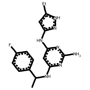 CCc1cc(Nc2cc(NC(C)c3ccc(F)cc3)nc(N)n2)n[nH]1